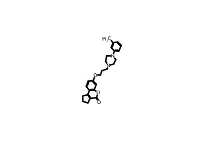 Cc1cccc(N2CCN(CCCOc3ccc4c5c(c(=O)oc4c3)CCC5)CC2)c1